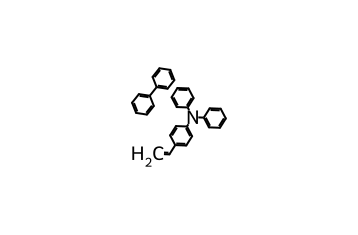 C=Cc1ccc(N(c2ccccc2)c2ccccc2)cc1.c1ccc(-c2ccccc2)cc1